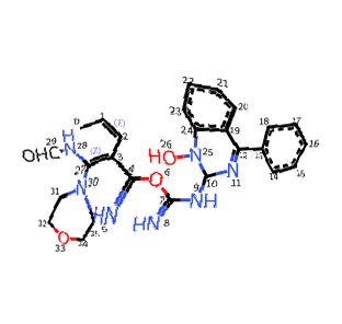 C/C=C\C(C(=N)OC(=N)NC1N=C(c2ccccc2)c2ccccc2N1O)=C(/NC=O)N1CCOCC1